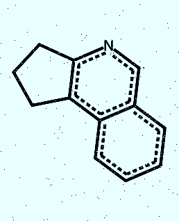 [c]1nc2c(c3ccccc13)CCC2